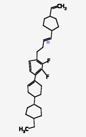 C=CC1CCC(/C=C/CCc2ccc(C3=CCC(C4CCC(CC)CC4)CC3)c(F)c2F)CC1